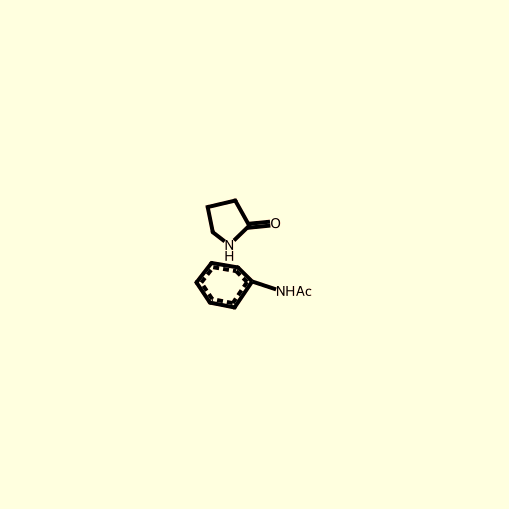 CC(=O)Nc1ccccc1.O=C1CCCN1